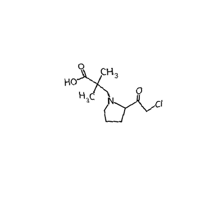 CC(C)(CN1CCCC1C(=O)CCl)C(=O)O